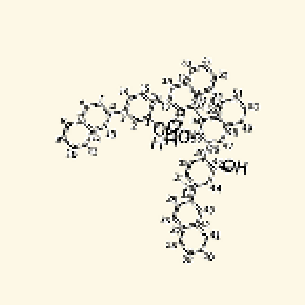 Oc1cc(-c2ccc3ccccc3c2)ccc1-c1cc2ccccc2c(-c2c(O)c(-c3ccc(-c4ccc5ccccc5c4)cc3O)cc3ccccc23)c1O